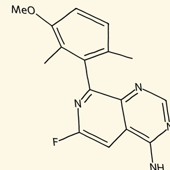 COc1ccc(C)c(-c2nc(F)cc3c(N)ncnc23)c1C